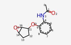 CC(=O)Nc1ccccc1OC1CCC2OC12